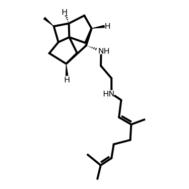 CC(C)=CCC/C(C)=C/CNCCN[C@@H]1[C@H]2CC3[C@@H](C)[C@H]4C[C@H]1CC34C2